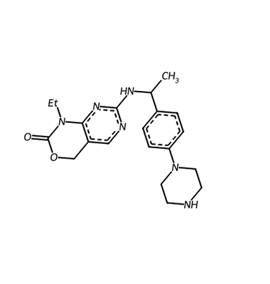 CCN1C(=O)OCc2cnc(NC(C)c3ccc(N4CCNCC4)cc3)nc21